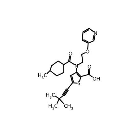 CC1CCC(C(=O)N(CCOc2cccnc2)c2cc(C#CC(C)(C)C)sc2C(=O)O)CC1